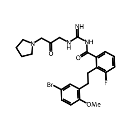 COc1ccc(Br)cc1CCc1c(F)cccc1C(=O)NC(=N)NCC(=O)CN1CCCC1